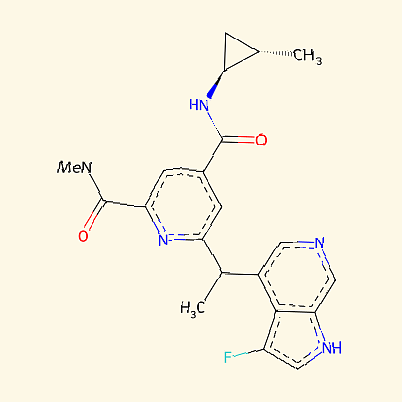 CNC(=O)c1cc(C(=O)N[C@H]2C[C@@H]2C)cc(C(C)c2cncc3[nH]cc(F)c23)n1